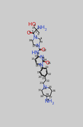 CC(N)(CO)C(=O)N1CCN(C(=O)Nc2ccn(-c3ccc(CCN4CCCC(N)CC4)cc3)c(=O)n2)CC1